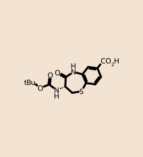 CC(C)(C)OC(=O)N[C@H]1CSc2ccc(C(=O)O)cc2NC1=O